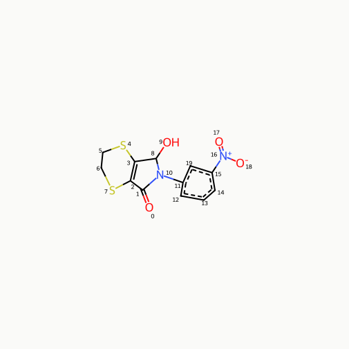 O=C1C2=C(SCCS2)C(O)N1c1cccc([N+](=O)[O-])c1